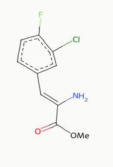 COC(=O)/C(N)=C/c1ccc(F)c(Cl)c1